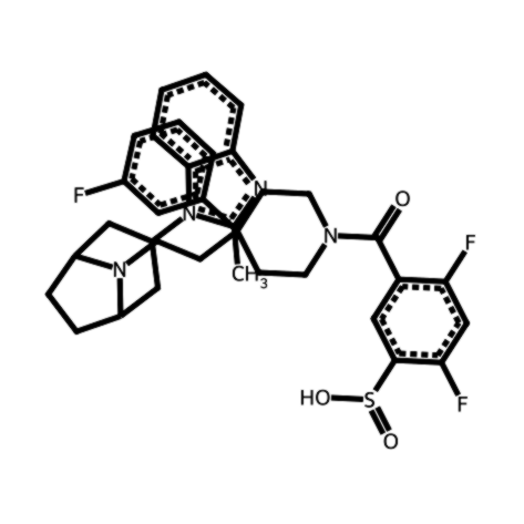 Cc1nc2ccccc2n1C1CC2CCC(C1)N2CCC1(c2cccc(F)c2)CCN(C(=O)c2cc(S(=O)O)c(F)cc2F)CC1